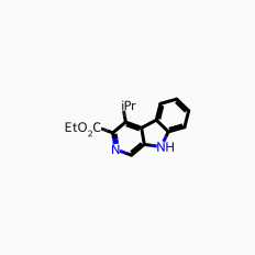 CCOC(=O)c1ncc2[nH]c3ccccc3c2c1C(C)C